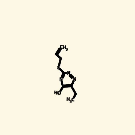 C=CCSc1nnc(CC)c(O)n1